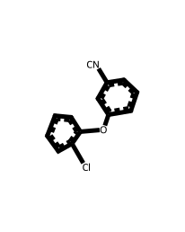 [C-]#[N+]c1cccc(Oc2ccccc2Cl)c1